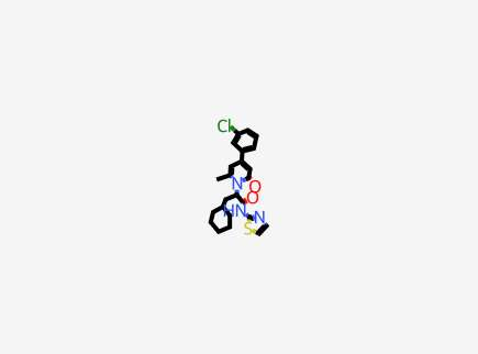 Cc1cc(-c2cccc(Cl)c2)cc(=O)n1C(CC1CCCCC1)C(=O)Nc1nccs1